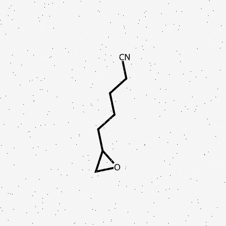 N#CCCCCC1CO1